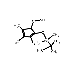 [Li][C]1=C(O[Si](C)(C)C(C)(C)C)C(O[SiH3])C(C)=C1C